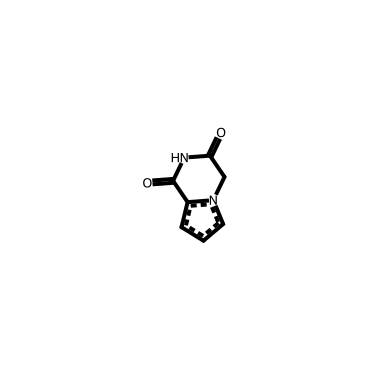 O=C1Cn2cccc2C(=O)N1